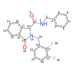 O=C(NCc1ccccc1)C1c2ccccc2C(=O)N1Cc1cccc(F)c1F